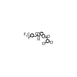 Cc1ccc2c(c1NC(=O)Cc1ccc(C(F)(F)F)c(F)c1)CCN(C(=O)c1cc(Cl)cc(Cl)c1)C2